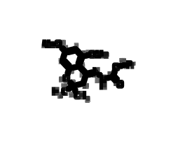 COc1cc(OC)c2c(c1)OC(C)(C)CC2=NNC(=O)OC(C)C